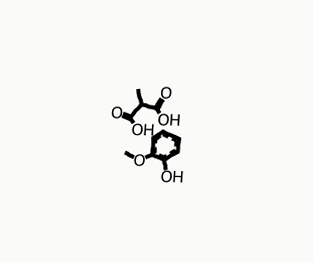 CC(C(=O)O)C(=O)O.COc1ccccc1O